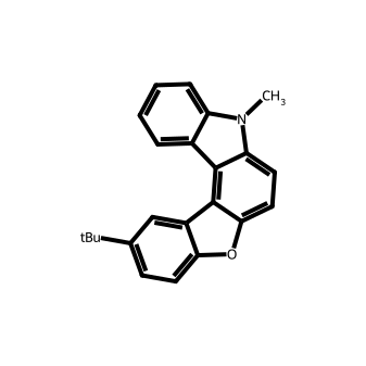 Cn1c2ccccc2c2c3c(ccc21)oc1ccc(C(C)(C)C)cc13